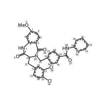 COc1ccc2c(c1)NC(=O)C(Cc1ccc(Cl)c(Cl)c1)N(Cc1ccc(C(=O)Nc3ccccn3)cc1)C2=O